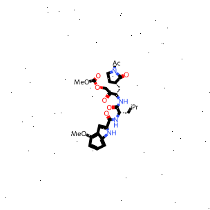 COC(=O)OCC(=O)[C@H](C[C@@H]1CCN(C(C)=O)C1=O)NC(=O)[C@H](CC(C)C)NC(=O)c1cc2c(OC)cccc2[nH]1